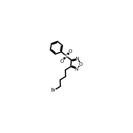 O=S(=O)(c1ccccc1)c1nonc1CCCCBr